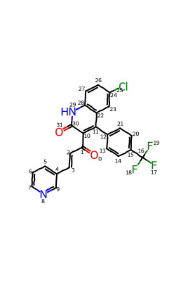 O=C(/C=C/c1cccnc1)c1c(-c2ccc(C(F)(F)F)cc2)c2cc(Cl)ccc2[nH]c1=O